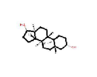 C[C@]12CC[C@H]3[C@@H](CC[C@H]4C[C@@H](O)CC[C@@]43C=O)[C@@H]1CC[C@@H]2O